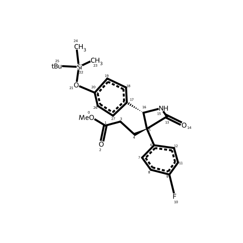 COC(=O)CC[C@]1(c2ccc(F)cc2)C(=O)N[C@H]1c1ccc(O[Si](C)(C)C(C)(C)C)cc1